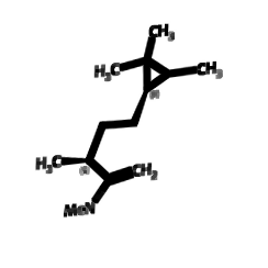 C=C(NC)[C@@H](C)CC[C@@H]1C(C)C1(C)C